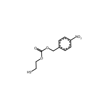 O=C(OCCS)OCc1ccc([N+](=O)[O-])cc1